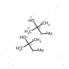 CC(=O)CC(C)(C)O.CC(=O)CC(C)(C)O